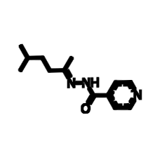 C/C(CCC(C)C)=N\NC(=O)c1ccncc1